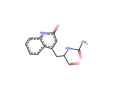 CC(=O)NC(C=O)Cc1cc(=O)[nH]c2ccccc12